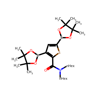 CCCCCCN(CCCCCC)C(=O)c1sc(B2OC(C)(C)C(C)(C)O2)cc1B1OC(C)(C)C(C)(C)O1